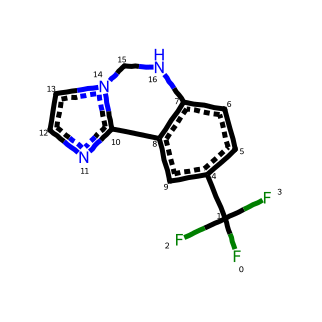 FC(F)(F)c1ccc2c(c1)-c1nccn1CN2